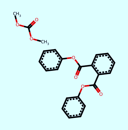 COC(=O)OC.O=C(Oc1ccccc1)c1ccccc1C(=O)Oc1ccccc1